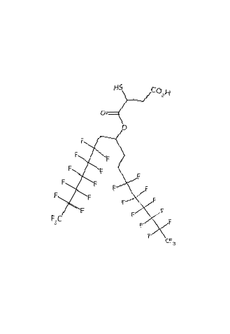 O=C(O)CC(S)C(=O)OC(CCC(F)(F)C(F)(F)C(F)(F)C(F)(F)C(F)(F)C(F)(F)F)CC(F)(F)C(F)(F)C(F)(F)C(F)(F)C(F)(F)C(F)(F)F